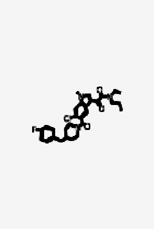 CCCN(CC)C(=O)C(=O)c1cn(C)c2cc(Cl)c(C(=O)N3CCC(Cc4ccc(F)cc4)CC3)cc12